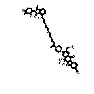 CCc1cc2c(cc1N1CCN(C(=O)CCOCCOCCOCCNc3cccc4c3C(=O)N(C3CCC(=O)NC3=O)C4=O)CC1)C(C)(C)c1[nH]c3cc(C#N)ccc3c1C2=O